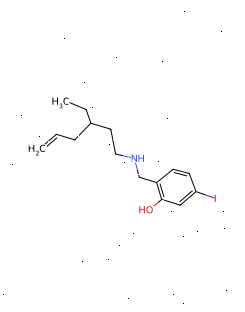 C=CCC(CC)CCNCc1ccc(I)cc1O